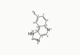 Ic1ccc2ncc3nc[nH]c3c2c1